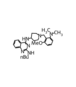 CCCCNc1nc(NC2CCN(Cc3c(OC)cccc3N(C)C)CC2)c2ccccc2n1